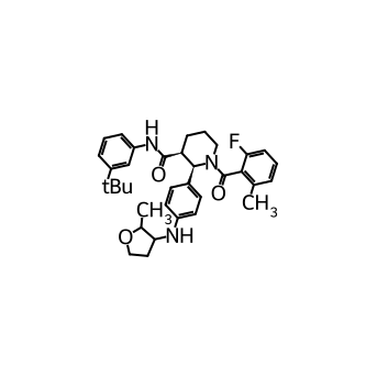 Cc1cccc(F)c1C(=O)N1CCC[C@H](C(=O)Nc2cccc(C(C)(C)C)c2)[C@@H]1c1ccc(NC2CCOC2C)cc1